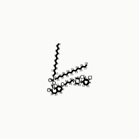 CCCCCCCCCCCCCCN(CCCCCCCCCCCCCC)C(=O)OCN1C(=O)CCc2ccc(OCCCCN3CCN(c4cccc(Cl)c4Cl)CC3)cc21